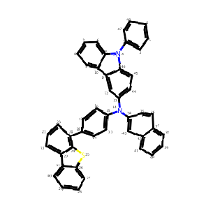 c1ccc(-n2c3ccccc3c3cc(N(c4ccc(-c5cccc6c5sc5ccccc56)cc4)c4ccc5ccccc5c4)ccc32)cc1